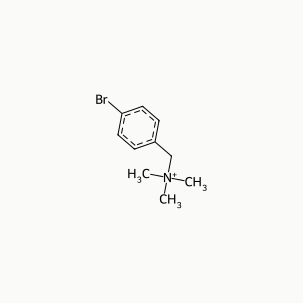 C[N+](C)(C)Cc1ccc(Br)cc1